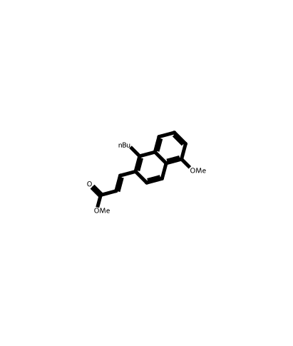 CCCCc1c(/C=C/C(=O)OC)ccc2c(OC)cccc12